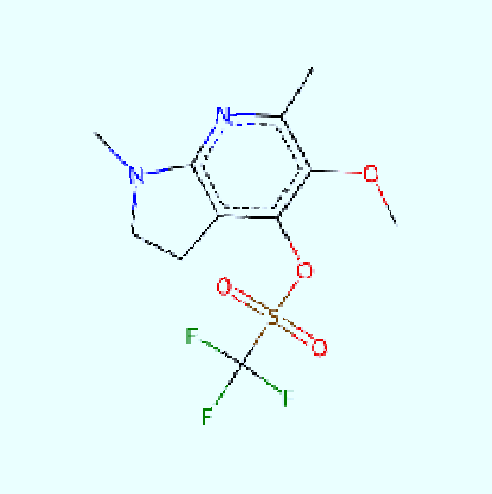 COc1c(C)nc2c(c1OS(=O)(=O)C(F)(F)F)CCN2C